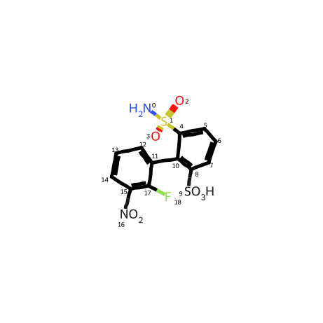 NS(=O)(=O)c1cccc(S(=O)(=O)O)c1-c1cccc([N+](=O)[O-])c1F